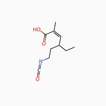 CCC(C=C(C)C(=O)O)CCN=C=O